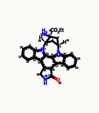 CCOC(=O)[C@]1(N)C[C@@H]2C[C@H]1n1c3ccccc3c3c4c(c5c6ccccc6n2c5c31)C(=O)NC4